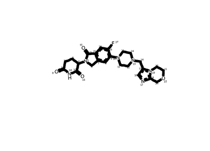 O=C1CCC(N2Cc3cc(N4CCN(Cc5cnc6n5CCOC6)CC4)c(F)cc3C2=O)C(=O)N1